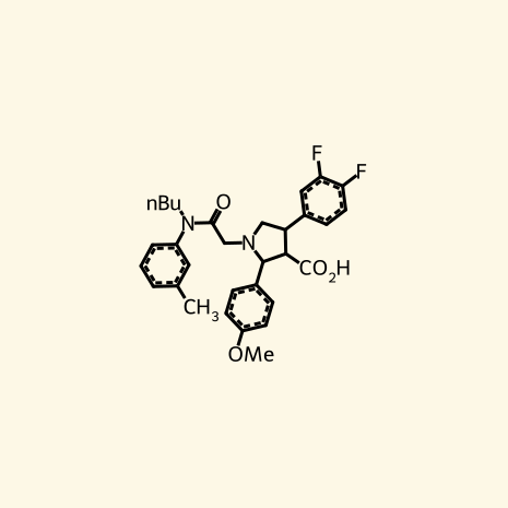 CCCCN(C(=O)CN1CC(c2ccc(F)c(F)c2)C(C(=O)O)C1c1ccc(OC)cc1)c1cccc(C)c1